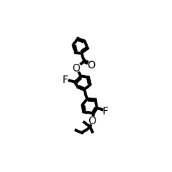 CCC(C)(C)Oc1ccc(-c2ccc(OC(=O)c3ccccc3)c(F)c2)cc1F